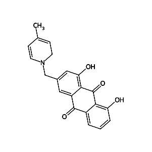 CC1=CCN(Cc2cc(O)c3c(c2)C(=O)c2cccc(O)c2C3=O)C=C1